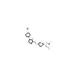 Cc1c(C(=O)Nc2ccc(N3CC(C)OC(C)C3)nc2)cccc1-c1ccc(OC(C)(F)F)cc1